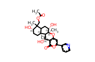 CC(=O)OCC1(C)C2C[C@H](O)[C@@]3(C)Oc4cc(-c5cccnc5)oc(=O)c4[C@H](O)C3[C@@]2(C)CC[C@@H]1O